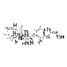 Cc1nc2c(-c3ccc4nc(CO)sc4c3Cl)n[nH]c2nc1N1[C@H]2CC[C@@H]1[C@@H](F)[C@@H](N)C2